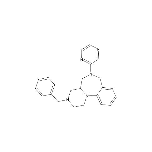 c1ccc(CN2CCN3c4ccccc4CN(c4cnccn4)CC3C2)cc1